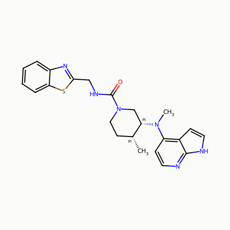 C[C@@H]1CCN(C(=O)NCc2nc3ccccc3s2)C[C@@H]1N(C)c1ccnc2[nH]ccc12